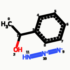 CC(O)c1ccccc1.[N-]=[N+]=N